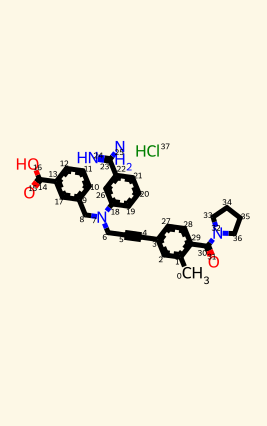 Cc1cc(C#CCN(Cc2cccc(C(=O)O)c2)c2cccc(C(=N)N)c2)ccc1C(=O)N1CCCC1.Cl